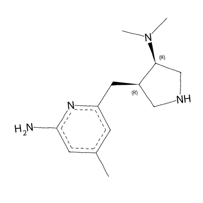 Cc1cc(N)nc(C[C@@H]2CNC[C@@H]2N(C)C)c1